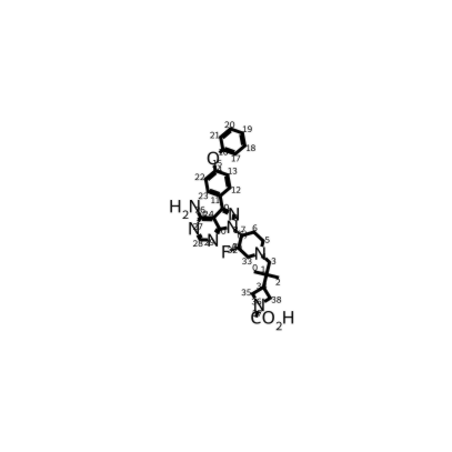 CC(C)(CN1CC[C@H](n2nc(-c3ccc(Oc4ccccc4)cc3)c3c(N)ncnc32)[C@H](F)C1)C1CN(C(=O)O)C1